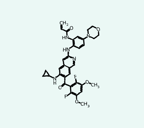 C=CC(=O)Nc1cc(N2CCOCC2)ccc1Nc1cc2cc(NC3CC3)c(C(=O)c3c(F)c(OC)cc(OC)c3F)cc2cn1